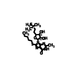 C=P(C)(C)CCC1OC(n2c(SCCCCC)nc3c(=O)[nH]c(C)nc32)[C@H](O)[C@@H]1O